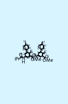 COC(=O)c1cc(N)cc(-c2ccc(C)cn2)c1F.COC(=O)c1cc(NC(=O)C(C)C)cc(-c2ccc(C)cn2)c1F